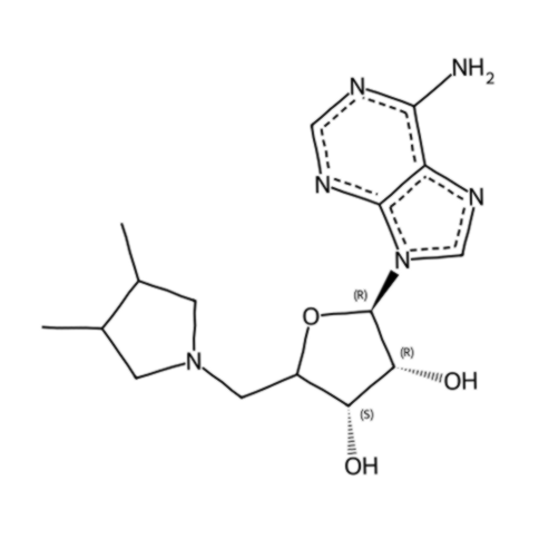 CC1CN(CC2O[C@@H](n3cnc4c(N)ncnc43)[C@H](O)[C@@H]2O)CC1C